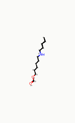 CCCCCNCCCCCCO[C]=O